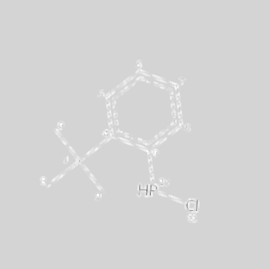 CC(C)(C)c1ccccc1PCl